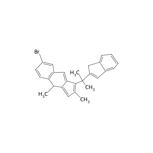 CC1=C(C(C)(C)C2=Cc3ccccc3C2)C2=Cc3cc(Br)ccc3C(C)C2=C1